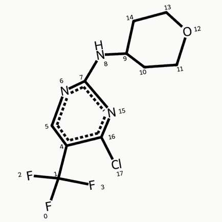 FC(F)(F)c1cnc(NC2CCOCC2)nc1Cl